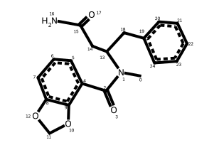 CN(C(=O)c1cccc2c1OCO2)C(CC(N)=O)Cc1ccccc1